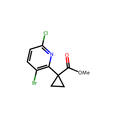 COC(=O)C1(c2nc(Cl)ccc2Br)CC1